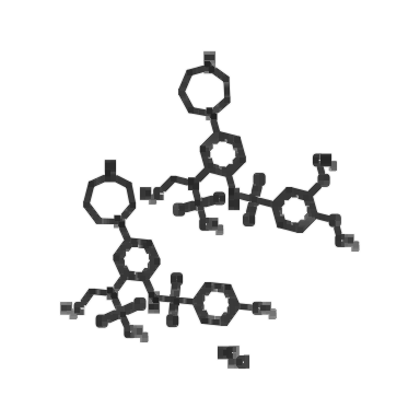 CCN(c1cc(N2CCCNCC2)ccc1NS(=O)(=O)c1ccc(C)cc1)S(C)(=O)=O.CCN(c1cc(N2CCCNCC2)ccc1NS(=O)(=O)c1ccc(OC)c(OC)c1)S(C)(=O)=O.Cl.Cl